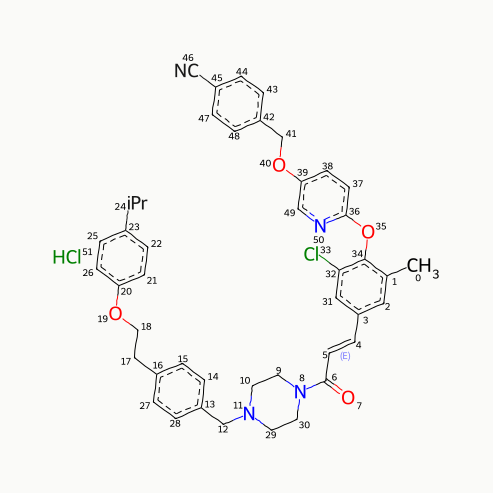 Cc1cc(/C=C/C(=O)N2CCN(Cc3ccc(CCOc4ccc(C(C)C)cc4)cc3)CC2)cc(Cl)c1Oc1ccc(OCc2ccc(C#N)cc2)cn1.Cl